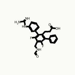 N=C(N)Nc1cccc(-c2c(F)c(CNC=O)c(F)c(-c3ccccc3)c2CCC(=O)O)c1